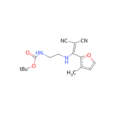 Cc1ccoc1C(NCCNC(=O)OC(C)(C)C)=C(C#N)C#N